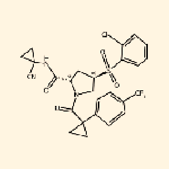 N#CC1(NC(=O)[C@@H]2C[C@@H](S(=O)(=O)c3ccccc3Cl)CN2C(=O)C2(c3ccc(C(F)(F)F)cc3)CC2)CC1